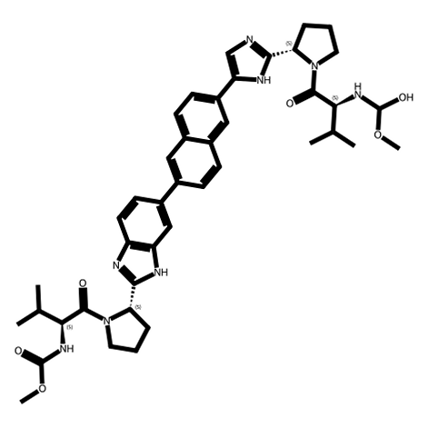 COC(=O)N[C@H](C(=O)N1CCC[C@H]1c1nc2ccc(-c3ccc4cc(-c5cnc([C@@H]6CCCN6C(=O)[C@@H](NC(O)OC)C(C)C)[nH]5)ccc4c3)cc2[nH]1)C(C)C